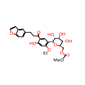 CCOc1cc(O)c(C(=O)CCc2ccc3occc3c2)cc1[C@@H]1O[C@H](COC(=O)OC)[C@@H](O)[C@H](O)[C@H]1O